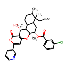 CC(=O)OCC1(C)C2C[C@H](OC(=O)c3cccc(Cl)c3)[C@@]3(C)Oc4cc(-c5cccnc5)oc(=O)c4[C@H](O)C3[C@@]2(C)CC[C@@H]1C